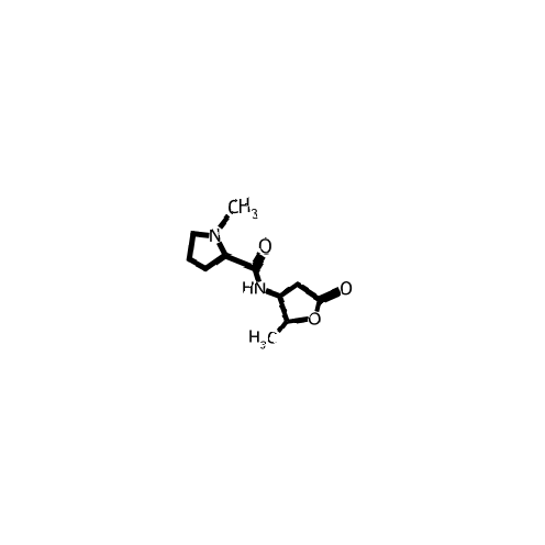 CC1OC(=O)CC1NC(=O)C1CCCN1C